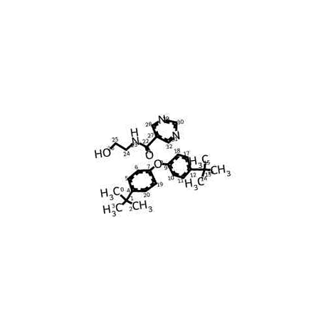 CC(C)(C)c1ccc(Oc2ccc(C(C)(C)C)cc2)cc1.O=C(NCCO)c1cncnc1